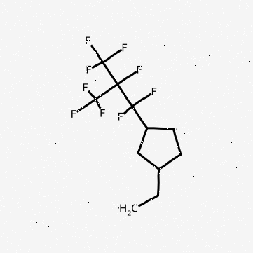 [CH2]CC1C[CH]C(C(F)(F)C(F)(C(F)(F)F)C(F)(F)F)C1